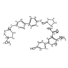 CN1CCN(Cc2ccc(-c3ccc(CO[C@H]4CCC[C@@H]4NC(=O)c4cc(-c5ccc(O)cc5)cnc4N)cc3)cc2)CC1